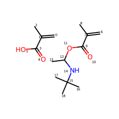 C=C(C)C(=O)O.C=C(C)C(=O)OC(C)NC(C)(C)C